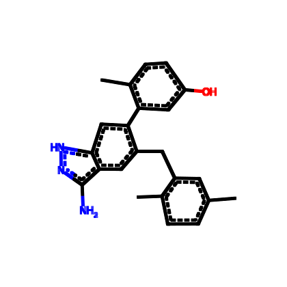 Cc1ccc(C)c(Cc2cc3c(N)n[nH]c3cc2-c2cc(O)ccc2C)c1